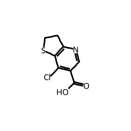 O=C(O)c1cnc2c(c1Cl)SCC2